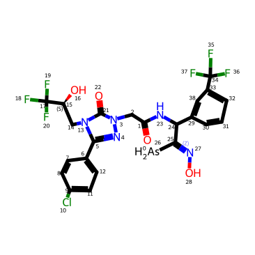 O=C(Cn1nc(-c2ccc(Cl)cc2)n(C[C@H](O)C(F)(F)F)c1=O)NC(/C([AsH2])=N/O)c1cccc(C(F)(F)F)c1